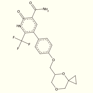 NC(=O)c1cc(-c2ccc(OCC3COCC4(CC4)O3)cc2)c(C(F)(F)F)[nH]c1=O